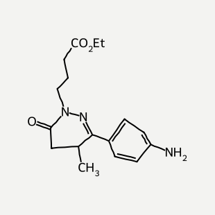 CCOC(=O)CCCN1N=C(c2ccc(N)cc2)C(C)CC1=O